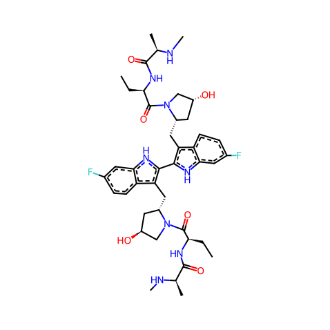 CC[C@@H](NC(=O)[C@@H](C)NC)C(=O)N1C[C@H](O)C[C@@H]1Cc1c(-c2[nH]c3cc(F)ccc3c2C[C@H]2C[C@H](O)CN2C(=O)[C@@H](CC)NC(=O)[C@@H](C)NC)[nH]c2cc(F)ccc12